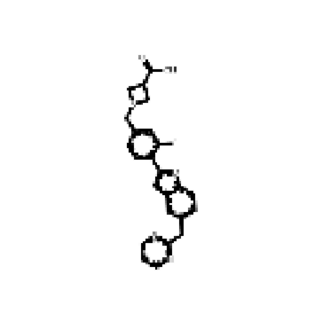 O=C(O)C1CN(Cc2ccc(-c3cc4cc(Cc5ncccn5)ccc4o3)c(F)c2)C1